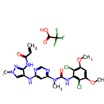 C=CC(=O)Nc1nn(C)cc1Nc1cc(N(C)C(=O)Nc2c(Cl)c(OC)cc(OC)c2Cl)ncn1.O=C(O)C(F)(F)F